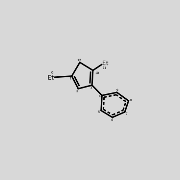 CCC1=CC(c2ccccc2)=C(CC)C1